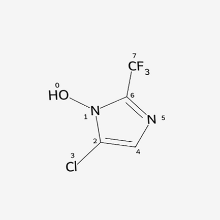 On1c(Cl)cnc1C(F)(F)F